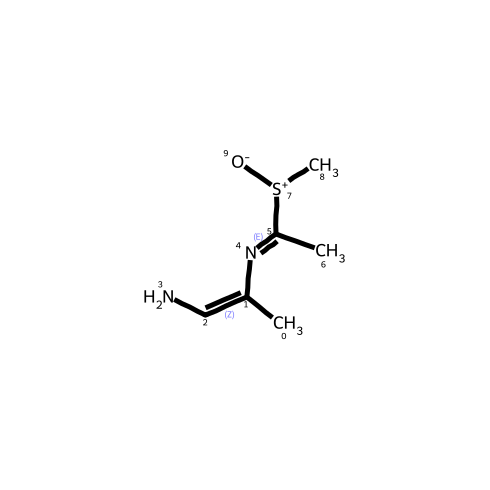 CC(=C/N)/N=C(\C)[S+](C)[O-]